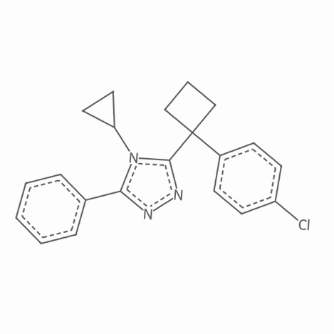 Clc1ccc(C2(c3nnc(-c4ccccc4)n3C3CC3)CCC2)cc1